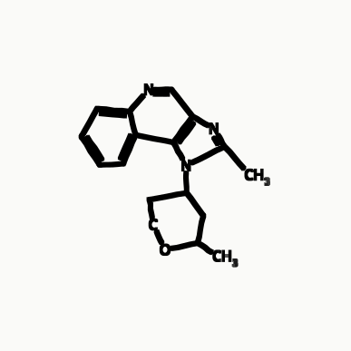 Cc1nc2cnc3ccccc3c2n1C1CCOC(C)C1